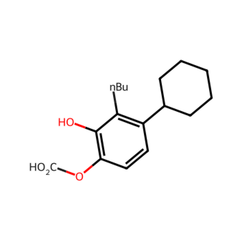 CCCCc1c(C2CCCCC2)ccc(OC(=O)O)c1O